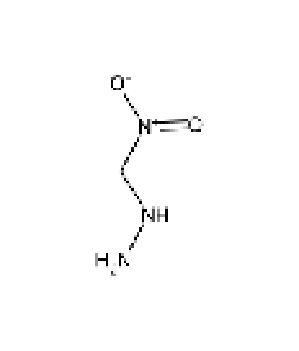 NNC[N+](=O)[O-]